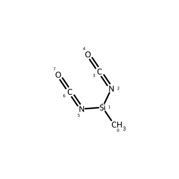 C[Si](N=C=O)N=C=O